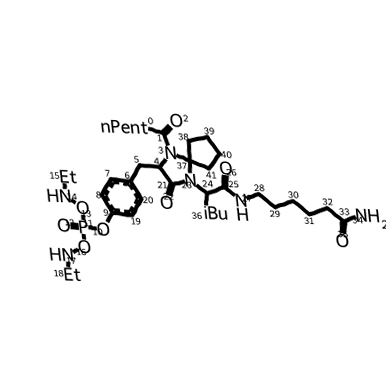 CCCCCC(=O)N1C(Cc2ccc(OP(=O)(ONCC)ONCC)cc2)C(=O)N(C(C(=O)NCCCCCC(N)=O)C(C)CC)C12CCCC2